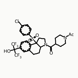 CC(=O)N1CCC(C(=O)N2CCC3(S(=O)(=O)c4ccc(Cl)cc4)c4ccc(C(O)(C(F)(F)F)C(F)(F)F)cc4CCC23)CC1